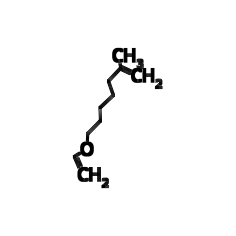 C=COCCCCCC(=C)C